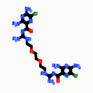 NC(=NC(=O)c1nc(Cl)c(N)nc1N)NCCOCCOCCNC(N)=NC(=O)c1nc(Cl)c(N)nc1N